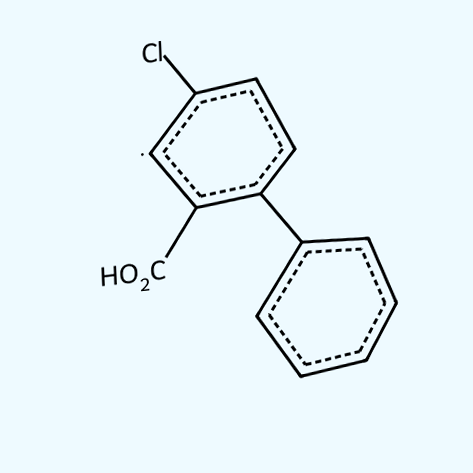 O=C(O)c1[c]c(Cl)ccc1-c1ccccc1